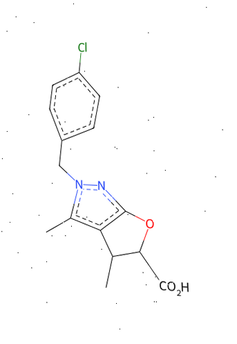 Cc1c2c(nn1Cc1ccc(Cl)cc1)OC(C(=O)O)C2C